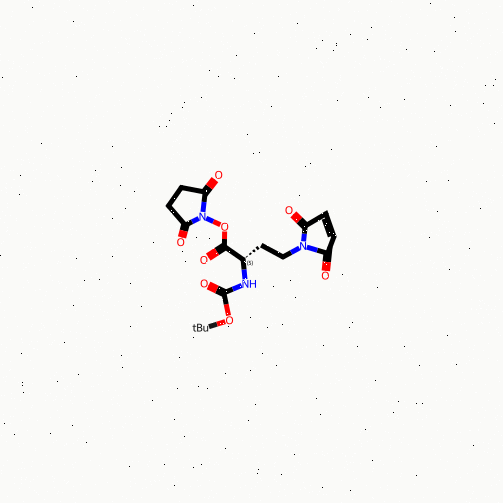 CC(C)(C)OC(=O)N[C@@H](CCN1C(=O)C=CC1=O)C(=O)ON1C(=O)CCC1=O